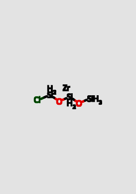 [SiH3]O[SiH2]O[SiH2]Cl.[Zr]